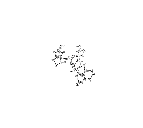 C#Cc1cccc2cc(O)cc(-c3ncc4c(N5CCN[C@@H](CC)C5)nc(C#C[C@@]56CCCN5C[C@H](OC)C6)nc4c3F)c12